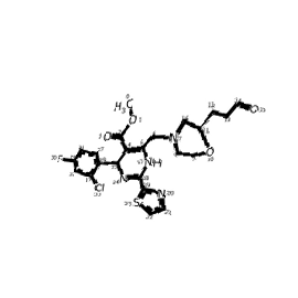 COC(=O)C1=C(CN2CCO[C@H](CCC=O)C2)NC(c2nccs2)=NC1c1ccc(F)cc1Cl